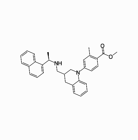 COC(=O)c1ccc(N2CC(CN[C@H](C)c3cccc4ccccc34)Cc3ccccc32)cc1C